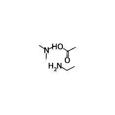 CC(=O)O.CCN.CN(C)C